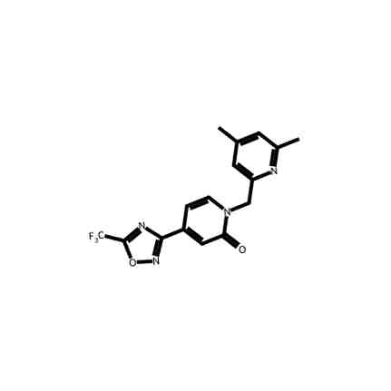 Cc1cc(C)nc(Cn2ccc(-c3noc(C(F)(F)F)n3)cc2=O)c1